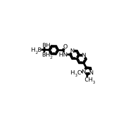 BC(B)(B)c1ccc(C(=O)Nc2cc3cc(-c4cnc(C)n4C)cnc3cn2)cc1